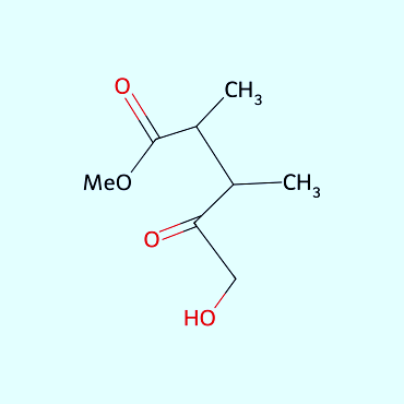 COC(=O)C(C)C(C)C(=O)CO